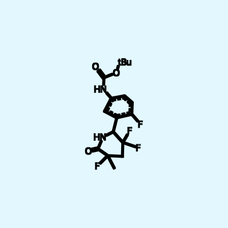 CC(C)(C)OC(=O)Nc1ccc(F)c(C2NC(=O)C(C)(F)CC2(F)F)c1